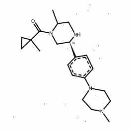 CC1CN[C@@H](c2ccc(N3CCN(C)CC3)cc2)CN1C(=O)C1(C)CC1